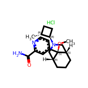 CO[C@]1(c2ccnc(C(N)=O)c2)[C@@H]2CCC[C@H]1CN([C@@H]1CC[C@H]1C)C2.Cl